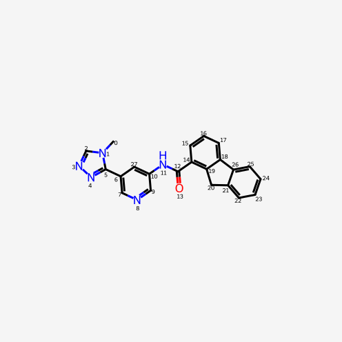 Cn1cnnc1-c1cncc(NC(=O)c2cccc3c2Cc2ccccc2-3)c1